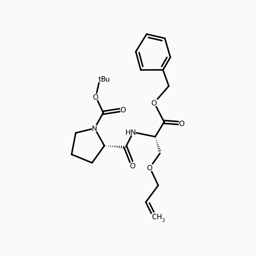 C=CCOC[C@H](NC(=O)[C@@H]1CCCN1C(=O)OC(C)(C)C)C(=O)OCc1ccccc1